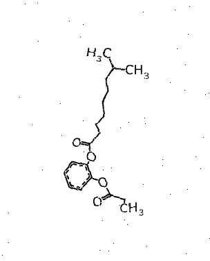 CCC(=O)Oc1ccccc1OC(=O)CCCCCCC(C)C